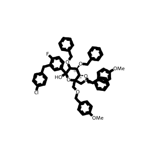 COc1ccc(COCC2(COCc3ccc(OC)cc3)OC(O)(c3ccc(F)c(Cc4ccc(Cl)cc4)c3)C(OCc3ccccc3)[C@@H](OCc3ccccc3)[C@@H]2OCc2ccccc2)cc1